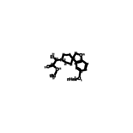 CCCCCCOc1ccc2c(c1)C1(CCN(C(CC)C(=O)OC(C)(C)C)CC1)CO2